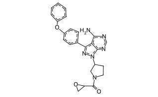 Nc1ncnc2c1c(-c1ccc(Oc3ccccc3)cc1)nn2C1CCN(C(=O)C2CO2)C1